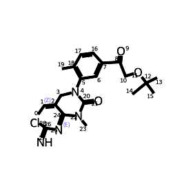 C/C=C1/CN(c2cc(C(=O)COC(C)(C)C)ccc2C)C(=O)N(C)/C1=N/C(=N)Cl